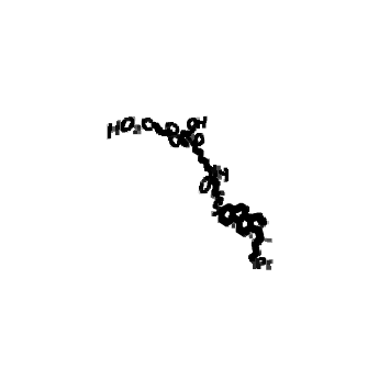 CC(C)CCC[C@@H](C)[C@H]1CCC2C3CC=C4C[C@@H](SSCCC(=O)NCCCCCC(=O)N5C[C@H](OC(=O)CCC(=O)O)C[C@H]5CO)CC[C@]4(C)C3CC[C@@]21C